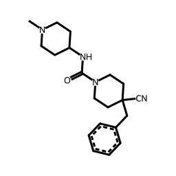 CN1CCC(NC(=O)N2CCC(C#N)(Cc3ccccc3)CC2)CC1